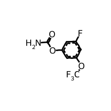 NC(=O)Oc1cc(F)cc(OC(F)(F)F)c1